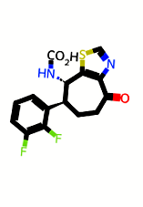 O=C(O)N[C@@H]1c2scnc2C(=O)CC[C@H]1c1cccc(F)c1F